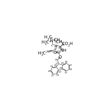 CC#CC[C@@](C)(C[N+](C)(C)C)[C@H](NC(=O)OCC1c2ccccc2-c2ccccc21)C(=O)O